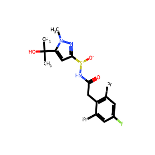 CC(C)c1cc(F)cc(C(C)C)c1CC(=O)N[S+]([O-])c1cc(C(C)(C)O)n(C)n1